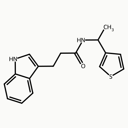 CC(NC(=O)CCc1c[nH]c2ccccc12)c1ccsc1